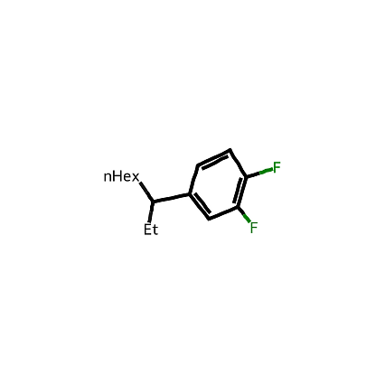 CCCCCCC(CC)c1ccc(F)c(F)c1